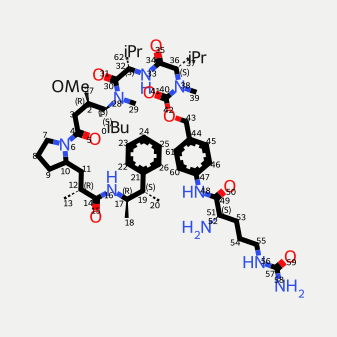 CC[C@H](C)[C@@H]([C@@H](CC(=O)N1CCCC1C[C@@H](C)C(=O)N[C@H](C)[C@@H](C)c1ccccc1)OC)N(C)C(=O)[C@@H](NC(=O)[C@H](C(C)C)N(C)C(=O)OCc1ccc(NC(=O)[C@@H](N)CCCNC(N)=O)cc1)C(C)C